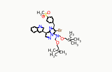 C[Si](C)(C)CCOCN(COCC[Si](C)(C)C)c1c(Br)c(Cc2ccc(S(C)(=O)=O)cc2)nc2c(-c3cnc4ccccc4c3)cnn12